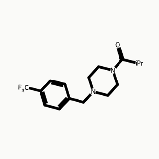 CC(C)C(=O)N1CCN(Cc2ccc(C(F)(F)F)cc2)CC1